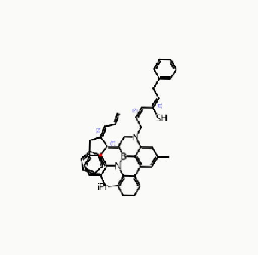 C=C/C=C1/Cc2ccccc2/C1=C1/CN(C/C=C\C(S)=C/Cc2ccccc2)c2cc(C)cc3c2B1N(c1ccccc1C)C1=C(C(C)C)CCC=C13